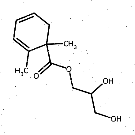 CC1=CC=CCC1(C)C(=O)OCC(O)CO